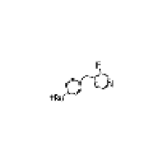 CC(C)(C)c1ccc(Cc2ccncc2F)cc1